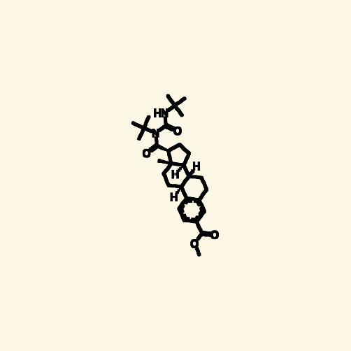 COC(=O)c1ccc2c(c1)CC[C@@H]1[C@@H]2CC[C@]2(C)[C@@H](C(=O)N(C(=O)NC(C)(C)C)C(C)(C)C)CC[C@@H]12